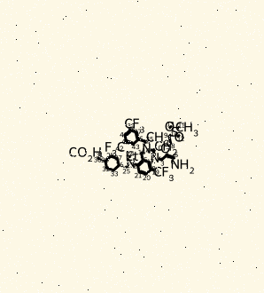 C=C(/N=C\C(=C/N)OCCS(C)(=O)=O)N(Cc1cc(C(F)(F)F)ccc1N(CC)C[C@H]1CC[C@H](CC(=O)O)CC1)[C@@H](C)c1cc(C(F)(F)F)cc(C(F)(F)F)c1